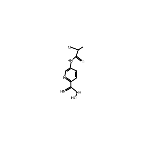 CC(Cl)C(=O)Nc1ccc(C(=N)NO)nc1